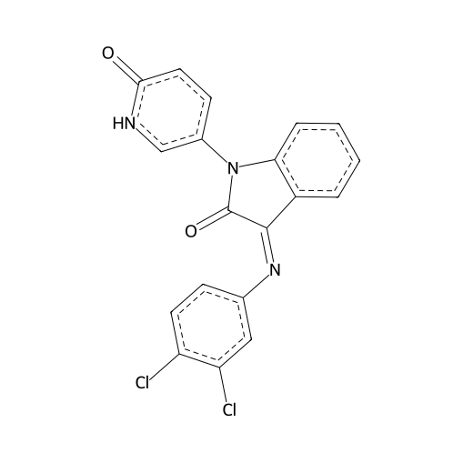 O=C1/C(=N\c2ccc(Cl)c(Cl)c2)c2ccccc2N1c1ccc(=O)[nH]c1